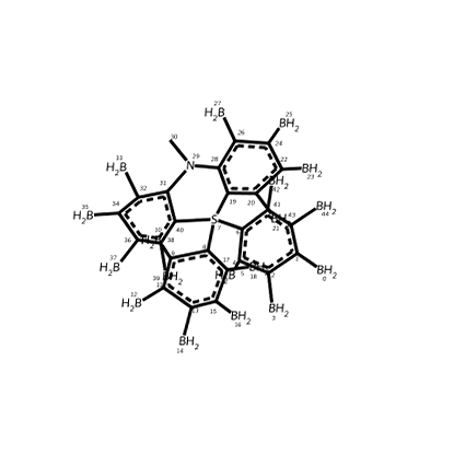 Bc1c(B)c(B)c(S2(c3c(B)c(B)c(B)c(B)c3B)c3c(B)c(B)c(B)c(B)c3N(C)c3c(B)c(B)c(B)c(B)c32)c(B)c1B